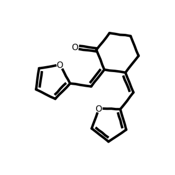 O=C1CCCC(=C/c2ccco2)/C1=C/c1ccco1